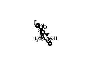 CNC(=O)c1c(-c2ccc(F)cc2)oc2cc(N(CCC3Cc4ccccc4B(O)O3)S(C)(=O)=O)c(C3CC3)cc12